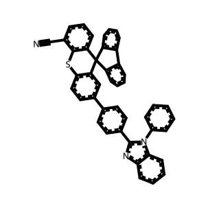 N#Cc1cccc2c1Sc1ccc(-c3ccc(-c4nc5ccccc5n4-c4ccccc4)cc3)cc1C21c2ccccc2-c2ccccc21